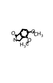 COc1ccc2c(c1OC)C[N]C2=O